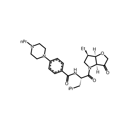 CCCN1CCN(c2ccc(C(=O)N[C@@H](CC(C)C)C(=O)N3C[C@@H](CC)[C@H]4OCC(=O)[C@H]43)cc2)CC1